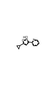 Cl.c1ccc(-c2cc(C3CC3)on2)nc1